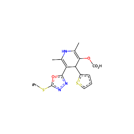 CC1=C(OC(=O)O)C(c2cccs2)C(c2nnc(SC(C)C)o2)=C(C)N1